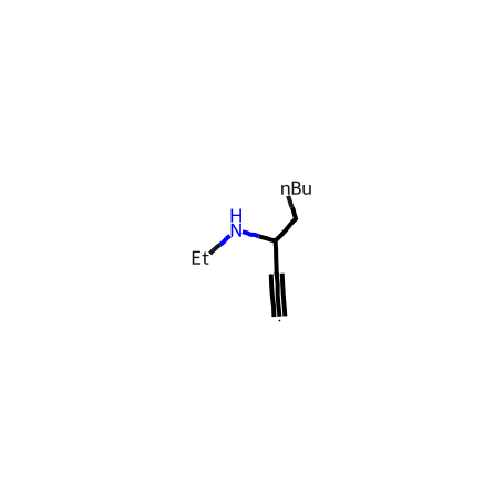 [C]#CC(CCCCC)NCC